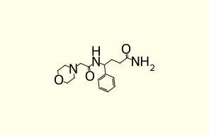 NC(=O)CCC(NC(=O)CN1CCOCC1)c1ccccc1